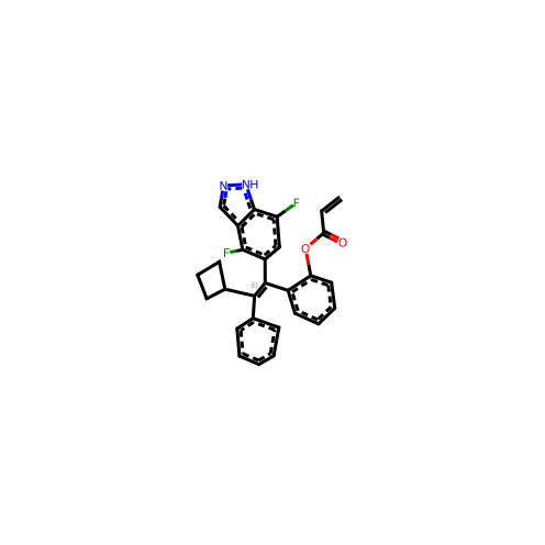 C=CC(=O)Oc1ccccc1/C(=C(\c1ccccc1)C1CCC1)c1cc(F)c2[nH]ncc2c1F